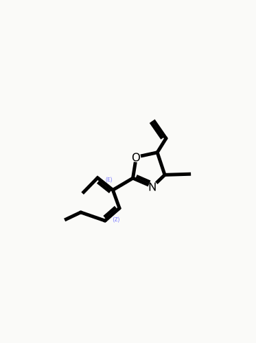 C=CC1OC(C(/C=C\CC)=C/C)=NC1C